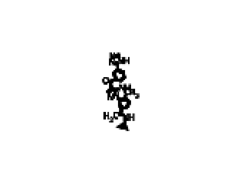 C=C(NC1CC1)c1ccc(C)c(-n2ncc(C(=O)c3cccc(-c4nnc[nH]4)c3)c2N)c1